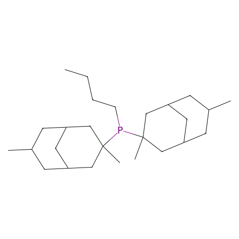 CCCCP(C1(C)CC2CC(C)CC(C2)C1)C1(C)CC2CC(C)CC(C2)C1